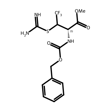 COC(=O)[C@H](NC(=O)OCc1ccccc1)C(SC(=N)N)C(F)(F)F